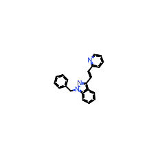 C(=Cc1nn(Cc2ccccc2)c2ccccc12)c1ccccn1